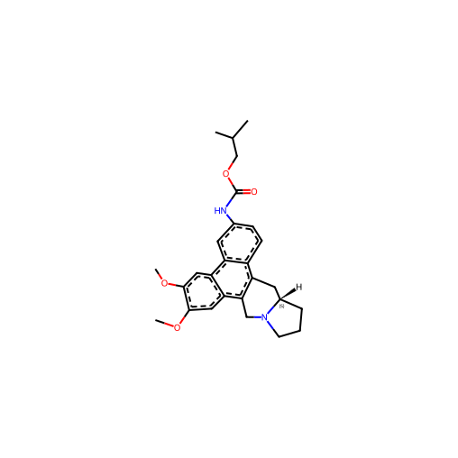 COc1cc2c3c(c4ccc(NC(=O)OCC(C)C)cc4c2cc1OC)C[C@@H]1CCCN1C3